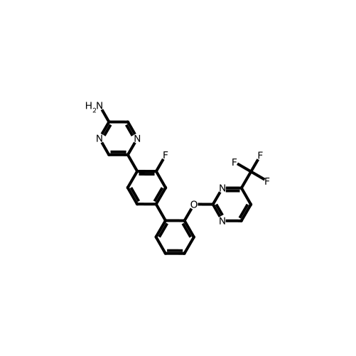 Nc1cnc(-c2ccc(-c3ccccc3Oc3nccc(C(F)(F)F)n3)cc2F)cn1